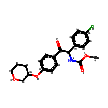 CC(C)(C)OC(=O)NC(C(=O)c1ccc(OC2CCCOC2)cc1)c1ccc(Cl)cc1